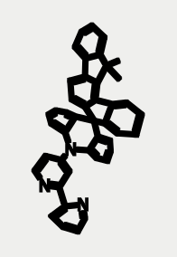 CC1(C)c2ccccc2-c2ccc3c(c21)-c1ccccc1C31c2ccccc2N(c2ccnc(-c3ccccn3)c2)c2ccccc21